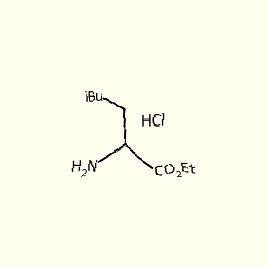 CCOC(=O)C(N)CC(C)CC.Cl